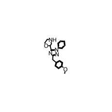 COc1ccc(Cc2nc(C3CNCCO3)n(-c3ccccc3)n2)cc1